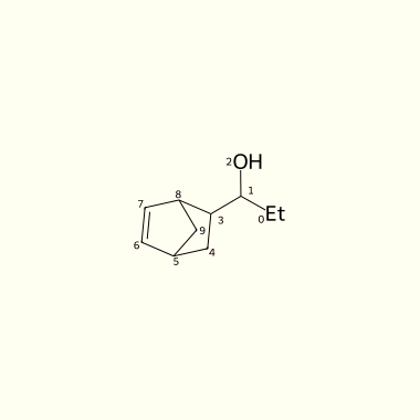 CCC(O)C1CC2C=CC1C2